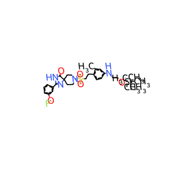 Cc1cc(NCCO[Si](C)(C)C(C)(C)C)ccc1CCS(=O)(=O)N1CCC2(CC1)N=C(c1cccc(OF)c1)NC2=O